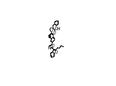 CCCCc1oc2ccccc2c1-c1ncc(-c2ccc3cc(OC(Cc4ccccc4)C(=O)O)ccc3c2)o1